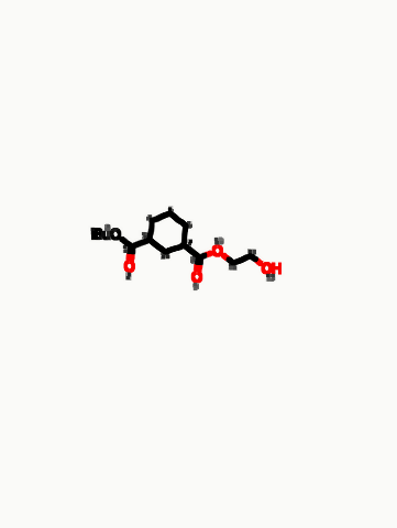 CC(C)COC(=O)C1CCCC(C(=O)OCCO)C1